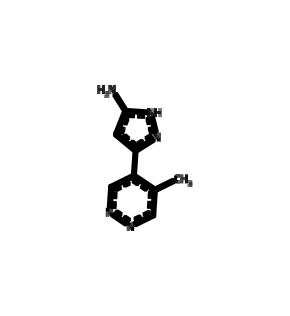 Cc1cnncc1-c1cc(N)[nH]n1